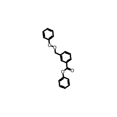 O=C(Oc1ccccc1)c1cccc(COOc2ccccc2)c1